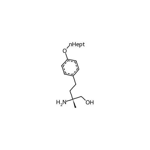 CCCCCCCOc1ccc(CC[C@@](C)(N)CO)cc1